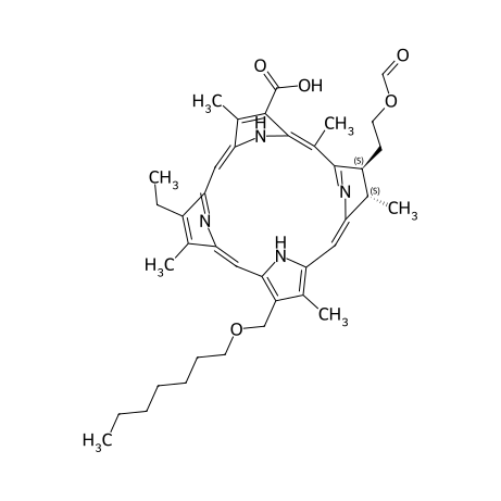 CCCCCCCOCc1c(C)c2cc3nc(c(C)c4[nH]c(cc5nc(cc1[nH]2)C(C)=C5CC)c(C)c4C(=O)O)[C@@H](CCOC=O)[C@@H]3C